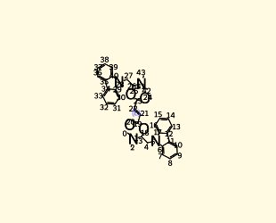 CN(C)C(Cn1c2ccccc2c2ccccc21)OC(=O)/C=C/C(=O)OC(Cn1c2ccccc2c2ccccc21)N(C)C